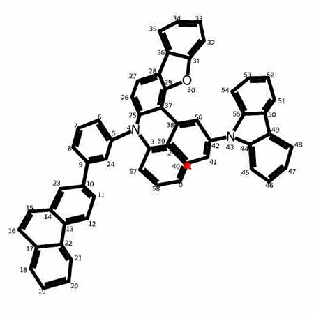 c1ccc(N(c2cccc(-c3ccc4c(ccc5ccccc54)c3)c2)c2ccc3c(oc4ccccc43)c2-c2cccc(-n3c4ccccc4c4ccccc43)c2)cc1